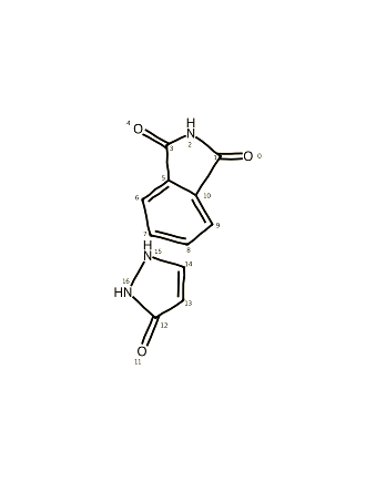 O=C1NC(=O)c2ccccc21.O=c1cc[nH][nH]1